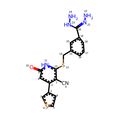 N#Cc1c(-c2ccsc2)cc(=O)[nH]c1SCc1cccc(/C(=N/N)NN)c1